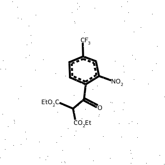 CCOC(=O)C(C(=O)OCC)C(=O)c1ccc(C(F)(F)F)cc1[N+](=O)[O-]